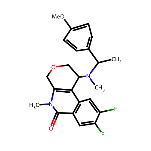 COc1ccc(C(C)N(C)C2COCc3c2c2cc(F)c(F)cc2c(=O)n3C)cc1